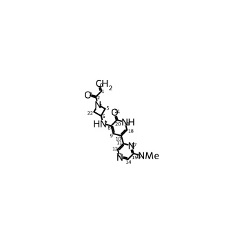 C=CC(=O)N1CC(Nc2cc(-c3cncc(NC)n3)c[nH]c2=O)C1